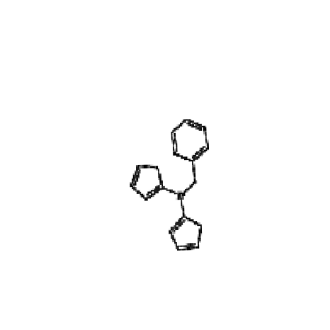 C1=CC[C]([Zr]([CH2]c2ccccc2)[C]2=CC=CC2)=C1